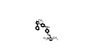 Cc1ccc(-c2ccccc2)n1-c1ccc(Nc2ccc(/N=N/c3n(C)cc[n+]3C)cc2)cc1